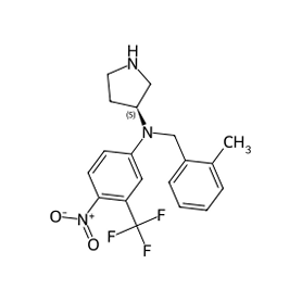 Cc1ccccc1CN(c1ccc([N+](=O)[O-])c(C(F)(F)F)c1)[C@H]1CCNC1